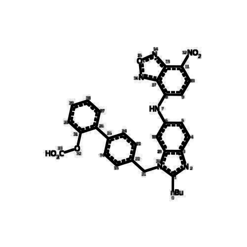 CCCCc1nc2ccc(Nc3ccc([N+](=O)[O-])c4nonc34)cc2n1Cc1ccc(-c2ccccc2OC(=O)O)cc1